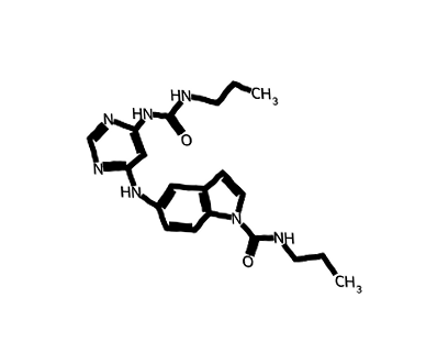 CCCNC(=O)Nc1cc(Nc2ccc3c(ccn3C(=O)NCCC)c2)ncn1